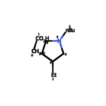 CC(=O)O.CCCCN1CCC(CC)C1